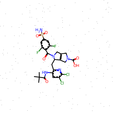 CC(C)(C)C(=O)Nc1cc(Cl)c(Cl)nc1[CH]C1C2=C(CN(C(=O)O)C2)CN1C(=O)c1c(F)cc(S(N)(=O)=O)cc1F